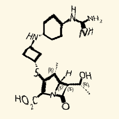 C[C@@H](O)[C@H]1C(=O)N2C(C(=O)O)=C(S[C@H]3C[C@H](N[C@H]4CC[C@H](NC(=N)N)CC4)C3)[C@H](C)[C@H]12